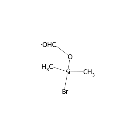 C[Si](C)(Br)O[C]=O